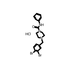 Cl.O=C(Nc1ccccc1)N1CCN(Cc2ccc(Br)c(Br)c2)CC1